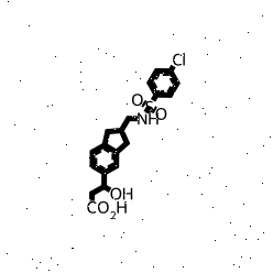 O=C(O)CC(O)c1ccc2c(c1)CC(CNS(=O)(=O)c1ccc(Cl)cc1)C2